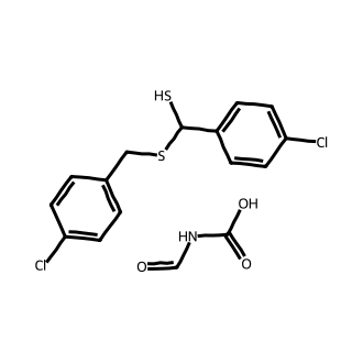 O=CNC(=O)O.SC(SCc1ccc(Cl)cc1)c1ccc(Cl)cc1